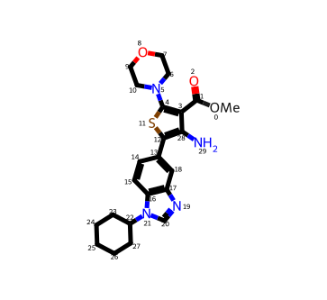 COC(=O)c1c(N2CCOCC2)sc(-c2ccc3c(c2)ncn3C2CCCCC2)c1N